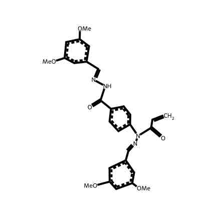 C=CC(=O)N(N=Cc1cc(OC)cc(OC)c1)c1ccc(C(=O)NN=Cc2cc(OC)cc(OC)c2)cc1